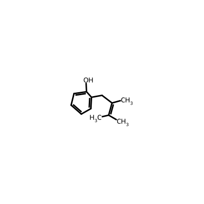 CC(C)=C(C)Cc1ccccc1O